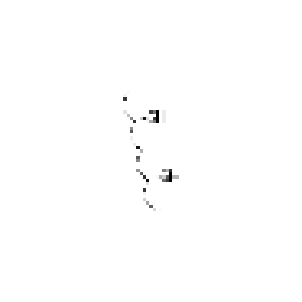 [CH2]CC(S)CCCC(S)CC